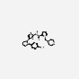 CCc1ccc(N2CCCC2c2csc(NC(=O)c3cccn3CC3CCOCC3)n2)cc1